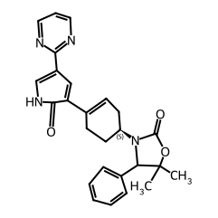 CC1(C)OC(=O)N([C@@H]2CC=C(c3cc(-c4ncccn4)c[nH]c3=O)CC2)C1c1ccccc1